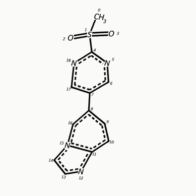 CS(=O)(=O)c1ncc(-c2ccc3nccn3c2)cn1